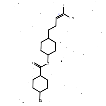 CCC1CCC(C(=O)OC2CCC(CC/C=C(/F)C#N)CC2)CC1